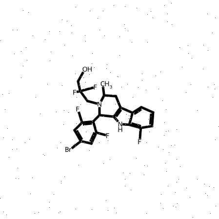 CC1Cc2c([nH]c3c(F)cccc23)C(c2c(F)cc(Br)cc2F)N1CC(F)(F)CO